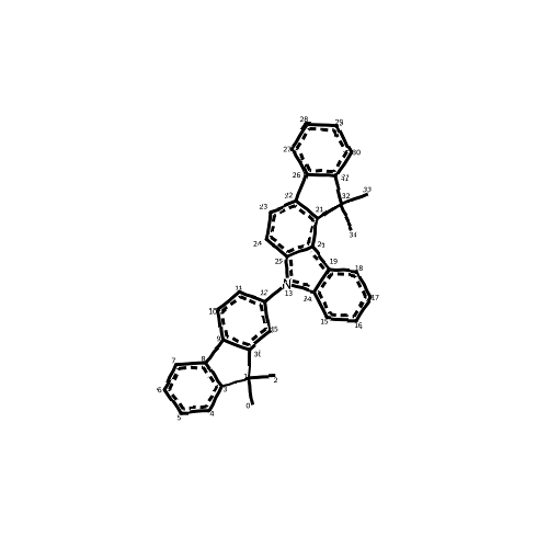 CC1(C)c2ccccc2-c2ccc(-n3c4ccccc4c4c5c(ccc43)-c3ccccc3C5(C)C)cc21